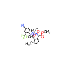 CONC(C(=O)OC)c1cccc(C)c1CO/N=C(\C)c1ccc(C#N)cc1C(F)(F)F